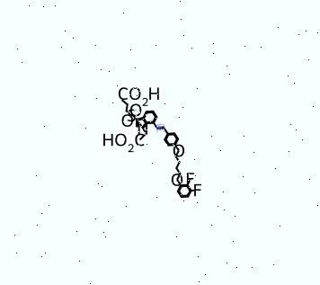 O=C(O)CCCS(=O)(=O)c1cn(CC(=O)O)c2c(/C=C/c3ccc(OCCCCOc4cccc(F)c4F)cc3)cccc12